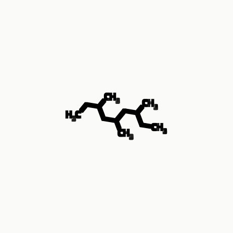 CCC(C)CC(C)CC(C)CC